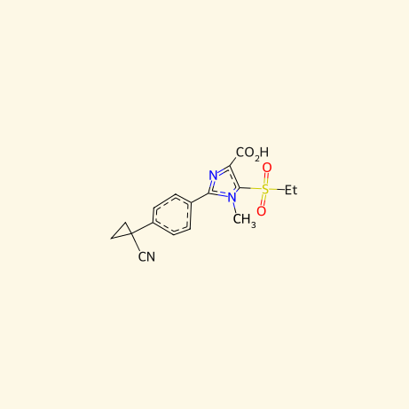 CCS(=O)(=O)c1c(C(=O)O)nc(-c2ccc(C3(C#N)CC3)cc2)n1C